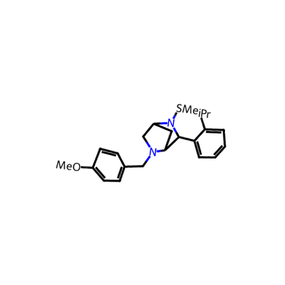 COc1ccc(CN2CC3CC2C(c2ccccc2C(C)C)N3SC)cc1